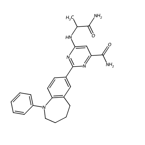 CC(Nc1cc(C(N)=O)nc(-c2ccc3c(c2)CCCCN3c2ccccc2)n1)C(N)=O